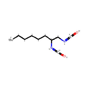 CC(C)(C)CCCCCC(CN=C=O)N=C=O